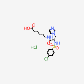 Cl.O=C(O)CCCCCNC(=O)[C@H](Cn1ccnc1)NS(=O)(=O)c1ccc(Cl)cc1